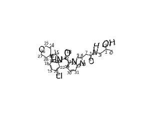 CC(O)CNC(=O)Cc1cn2c(C(=O)NCC3(c4ccc(Cl)cc4)CCOCC3)cccc2n1